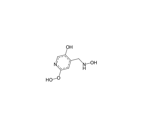 ONCc1cc(OO)ncc1O